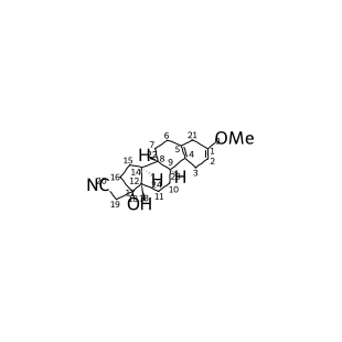 COC1=CCC2=C(CC[C@@H]3[C@@H]2CC[C@@]2(C)[C@H]3CC[C@@]2(O)CC#N)C1